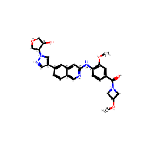 COc1cc(C(=O)N2CC(OC)C2)ccc1Nc1cc2cc(-c3cnn(C4COCC4O)c3)ccc2cn1